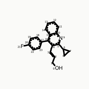 OC/C=C/c1c(C2CC2)nc2ccccc2c1-c1ccc(F)cc1